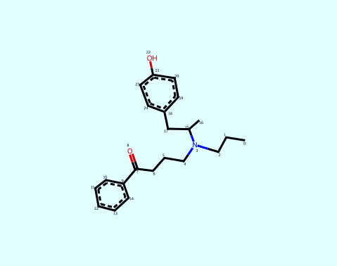 CCCN(CCCC(=O)c1ccccc1)C(C)Cc1ccc(O)cc1